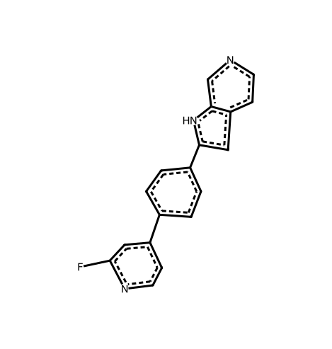 Fc1cc(-c2ccc(-c3cc4ccncc4[nH]3)cc2)ccn1